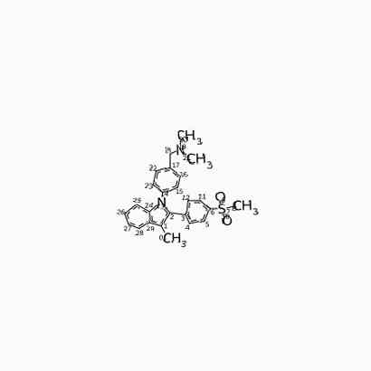 Cc1c(-c2ccc(S(C)(=O)=O)cc2)n(-c2ccc(CN(C)C)cc2)c2ccccc12